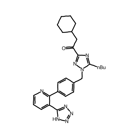 CCCCc1nc(C(=O)CC2CCCCC2)nn1Cc1ccc(-c2ncccc2-c2nnn[nH]2)cc1